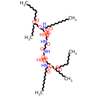 CCCCCC/C=C\CCCC(=O)O[C@H](CCCCCCC)CCOCC(COP(=O)(O)OCCNC(=O)CCC(=O)NCCOP(=O)(O)OCC(COCC[C@@H](CCCCCCC)OC(=O)CCC/C=C\CCCCCC)NC(=O)CC(=O)CCCCCCCCCCC)NC(=O)CC(=O)CCCCCCCCCCC